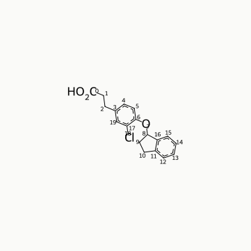 O=C(O)CCc1ccc(OC2CCc3ccccc32)c(Cl)c1